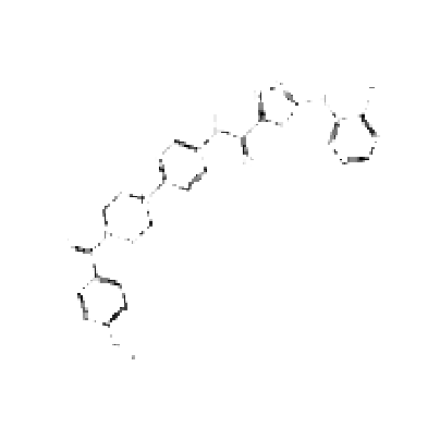 Cc1ccc(C(=O)N2CCN(c3ccc(NC(=O)c4nnc(Nc5ccccc5F)o4)cn3)CC2)cc1